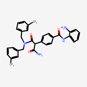 NC(=O)C(C(=O)N(Cc1cccc(C(F)(F)F)c1)Cc1cccc(C(F)(F)F)c1)c1ccc(C(=O)Nc2ccccc2N)cc1